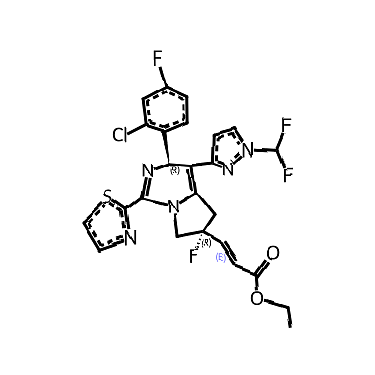 CCOC(=O)/C=C/[C@]1(F)CC2=C(c3ccn(C(F)F)n3)[C@H](c3ccc(F)cc3Cl)N=C(c3nccs3)N2C1